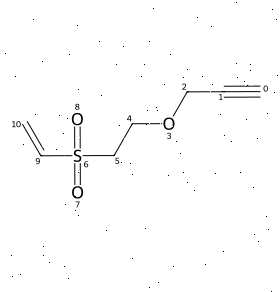 C#CCOCCS(=O)(=O)C=C